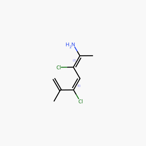 C=C(C)/C(Cl)=C\C(Cl)=C(/C)N